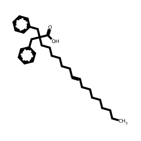 CCCCCCCCC=CCCCCCCC(Cc1ccccc1)(Cc1ccccc1)C(=O)O